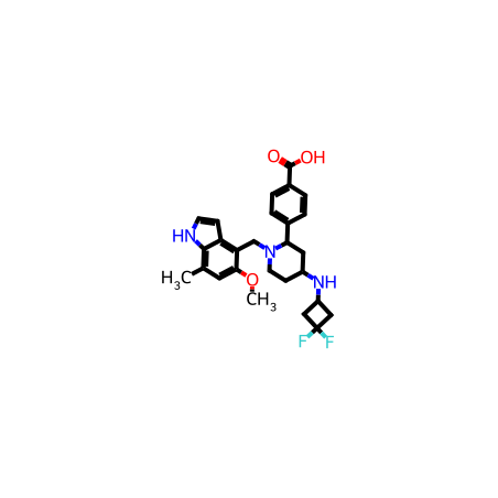 COc1cc(C)c2[nH]ccc2c1CN1CCC(NC2CC(F)(F)C2)CC1c1ccc(C(=O)O)cc1